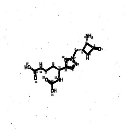 N[C@@H]1C(=O)N[C@@H]1Cn1ncc([C@H](CCNC(=O)O)NC(=O)O)n1